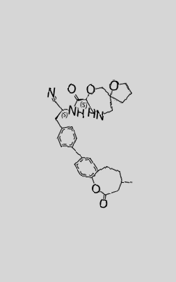 CC1CCc2cc(-c3ccc(C[C@@H](C#N)NC(=O)[C@@H]4CNCC5(CCCO5)CO4)cc3)ccc2OC(=O)C1